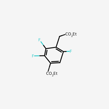 CCOC(=O)Cc1c(F)cc(C(=O)OCC)c(F)c1F